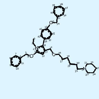 CCn1c(OCc2ccccc2)cc(COCCCCCCN2CCCCC2)c1-c1ccc(OCc2ccccc2)cc1